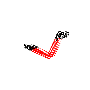 [Cu+2].[Cu+2].[Mo+6].[Mo+6].[O-2].[O-2].[O-2].[O-2].[O-2].[O-2].[O-2].[O-2].[O-2].[O-2].[O-2].[O-2].[O-2].[O-2].[O-2].[O-2].[O-2].[Sn+4].[Sn+4].[V+5].[V+5]